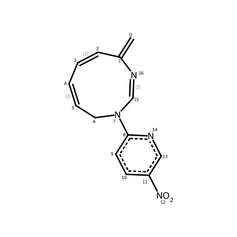 C=C1/C=C\C=C/CN(c2ccc([N+](=O)[O-])cn2)/C=N\1